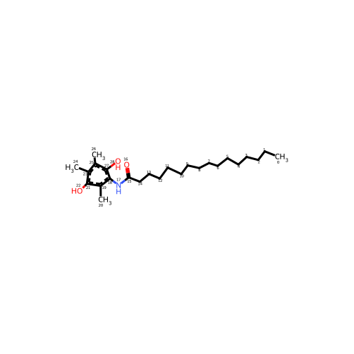 CCCCCCCCCCCCCCCC(=O)Nc1c(C)c(O)c(C)c(C)c1O